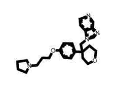 c1cc2c(cn1)ncn2CC1(c2ccc(OCCCN3CCCC3)cc2)CCOCC1